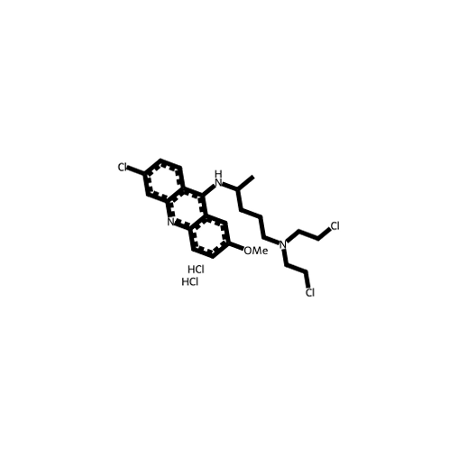 COc1ccc2nc3cc(Cl)ccc3c(NC(C)CCCN(CCCl)CCCl)c2c1.Cl.Cl